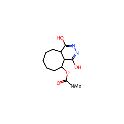 CNC(=O)OC1CCCCCC2C(O)=NN=C(O)C12